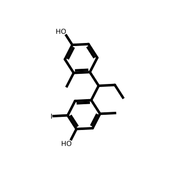 CCC(c1ccc(O)cc1C)c1cc(I)c(O)cc1C